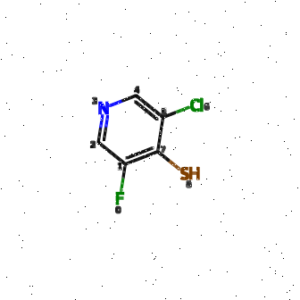 Fc1cncc(Cl)c1S